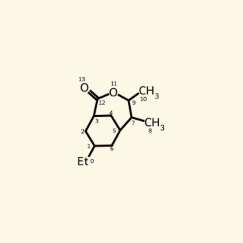 CCC1CC2CC(C1)C(C)C(C)OC2=O